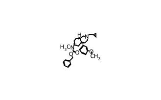 COc1cccc([C@@]23CCN(CC4CC4)C[C@H]2CC[C@H](N(C)C(=O)OCc2ccccc2)C3)c1